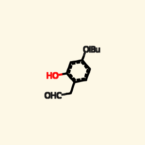 CC(C)COc1ccc(CC=O)c(O)c1